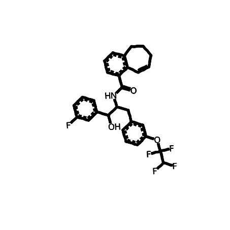 O=C(NC(Cc1cccc(OC(F)(F)C(F)F)c1)C(O)c1cccc(F)c1)c1cccc2c1C=CCCC2